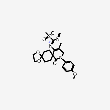 C=N/C(=N\C1=C(C)CN(c2ccc(OC)cc2)C(=O)C12CCC1(CC2)OCCO1)S(C)(=O)=O